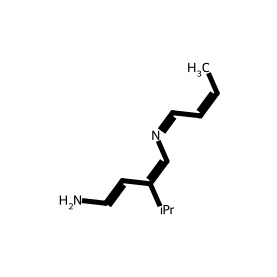 C\C=C/C=N\C=C(/C=C/N)C(C)C